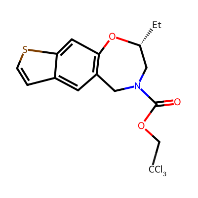 CC[C@@H]1CN(C(=O)OCC(Cl)(Cl)Cl)Cc2cc3ccsc3cc2O1